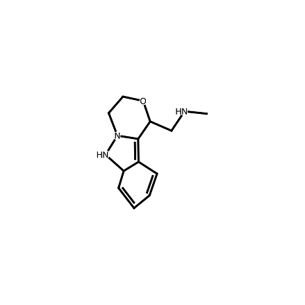 CNCC1OCCN2NC3C=CC=CC3=C12